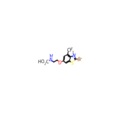 O=C(O)NCCOc1cc(C(F)(F)F)c2nc(Br)sc2c1